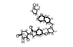 CN1CC[C@@H](c2ncc3cc(CN4CC[C@H](Oc5ccc6c(c5)CN(C5CCC(=O)NC5=O)C6=O)C4)ccc3n2)C1